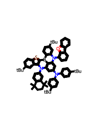 CC(C)(C)c1ccc(N(c2ccc(C(C)(C)C)cc2)c2cc3c4c(c2)N(c2cccc5c2oc2ccccc25)c2cc(C(C)(C)C)ccc2B4c2sc4ccc(C(C)(C)C)cc4c2N3c2ccc3c(c2)C(C)(C)CCC3(C)C)cc1